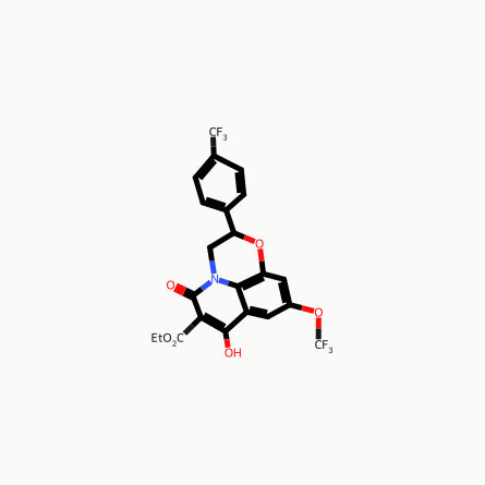 CCOC(=O)c1c(O)c2cc(OC(F)(F)F)cc3c2n(c1=O)CC(c1ccc(C(F)(F)F)cc1)O3